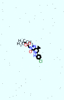 CC(C)(C)OC(=O)Cn1cnc2c(c1=O)N[C@H](c1ccc(Cl)cc1)CC21CC1